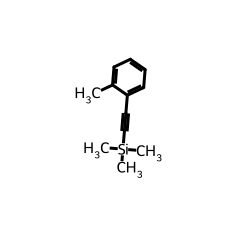 Cc1ccccc1C#C[Si](C)(C)C